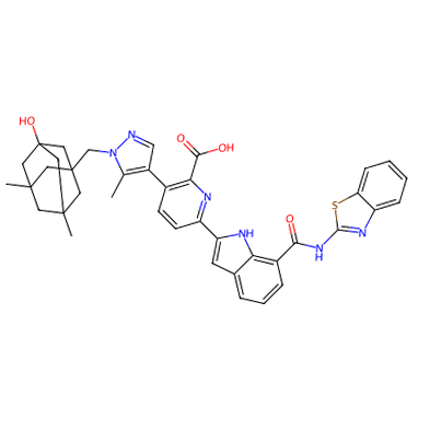 Cc1c(-c2ccc(-c3cc4cccc(C(=O)Nc5nc6ccccc6s5)c4[nH]3)nc2C(=O)O)cnn1CC12CC3(C)CC(C)(CC(O)(C3)C1)C2